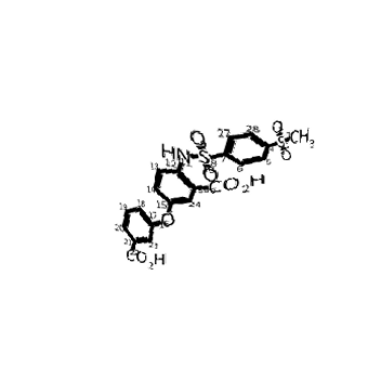 CS(=O)(=O)c1ccc(S(=O)(=O)Nc2ccc(Oc3cccc(C(=O)O)c3)cc2C(=O)O)cc1